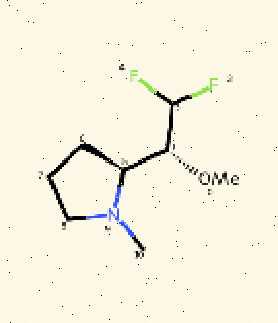 CO[C@@H](C(F)F)[C@@H]1CCCN1C